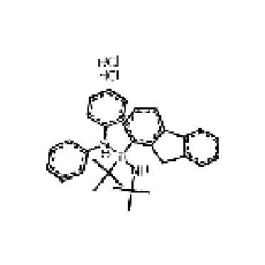 CC(C)(C)[NH][Ti]([c]1cccc2c1Cc1ccccc1-2)([SiH](c1ccccc1)c1ccccc1)[C](C)(C)C.Cl.Cl